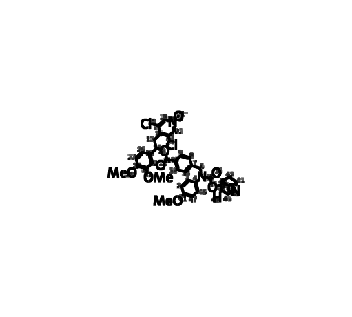 COc1ccc(N(Cc2ccc(C(=O)OC(Cc3c(Cl)c[n+]([O-])cc3Cl)c3ccc(OC)c(OC)c3)cc2)C(=O)O[C@H]2CN3CCC2CC3)cc1